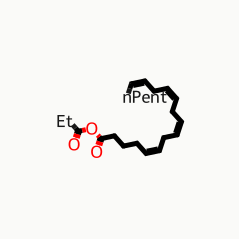 CCCCC/C=C\C/C=C\C/C=C\C/C=C\CCCC(=O)OC(=O)CC